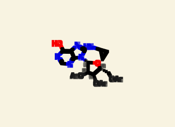 CC(=O)OC[C@H]1O[C@@H](n2c(NC3CC3)nc3c(O)ncnc32)[C@H](OC(C)=O)[C@@H]1OC(C)=O